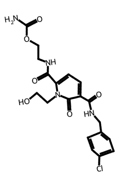 NC(=O)OCCNC(=O)c1ccc(C(=O)NCc2ccc(Cl)cc2)c(=O)n1CCO